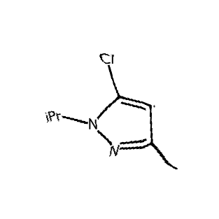 Cc1[c]c(Cl)n(C(C)C)n1